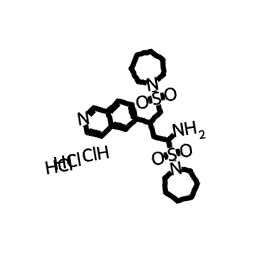 Cl.Cl.Cl.NC(CC(CS(=O)(=O)N1CCCCCC1)c1ccc2cnccc2c1)S(=O)(=O)N1CCCCCC1